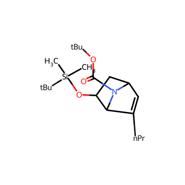 CCCC1=CC2CC(O[Si](C)(C)C(C)(C)C)C1N2C(=O)OC(C)(C)C